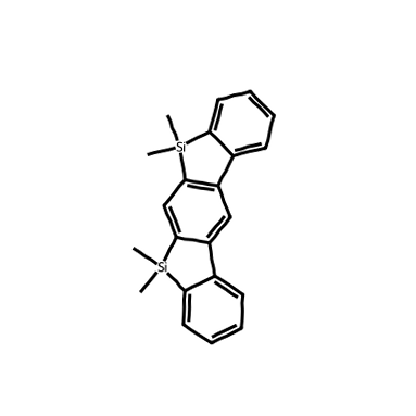 C[Si]1(C)c2ccccc2-c2cc3c(cc21)[Si](C)(C)c1ccccc1-3